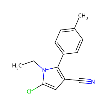 CCn1c(Cl)cc(C#N)c1-c1ccc(C)cc1